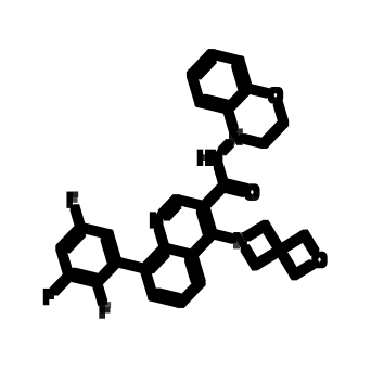 O=C(NN1CCOc2ccccc21)c1cnc2c(-c3cc(F)cc(F)c3F)cccc2c1N1CC2(COC2)C1